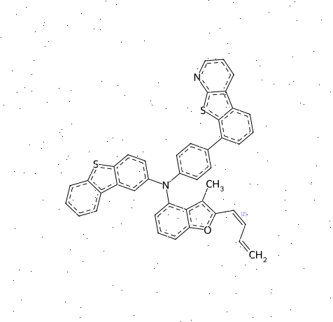 C=C/C=C\c1oc2cccc(N(c3ccc(-c4cccc5c4sc4ncccc45)cc3)c3ccc4sc5ccccc5c4c3)c2c1C